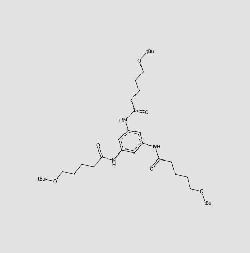 CC(C)(C)OCCCCC(=O)Nc1cc(NC(=O)CCCCOC(C)(C)C)cc(NC(=O)CCCCOC(C)(C)C)c1